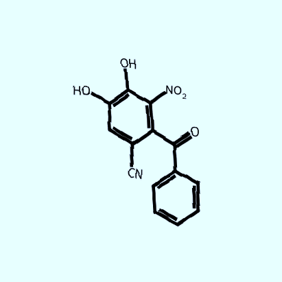 N#Cc1cc(O)c(O)c([N+](=O)[O-])c1C(=O)c1ccccc1